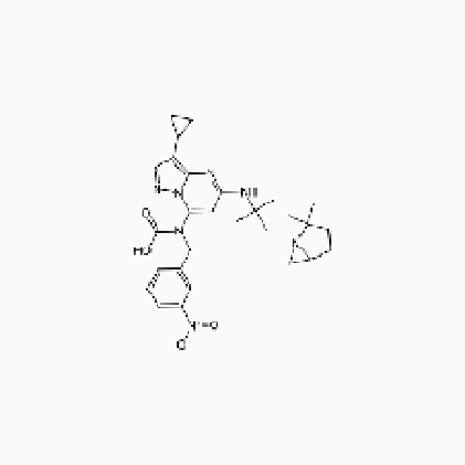 CC(C)(C)Nc1cc(N(Cc2cccc([N+](=O)[O-])c2)C(=O)O)n2ncc(C3CC3)c2n1.CC1(C)CCC2CN21